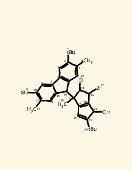 Cc1cc2c(cc1C(C)(C)C)-c1cc(C(C)(C)C)c(C)cc1C2C1(C)C2=C(C(Cl)C(C(C)(C)C)=C2)[CH]([Zr])C1Cl